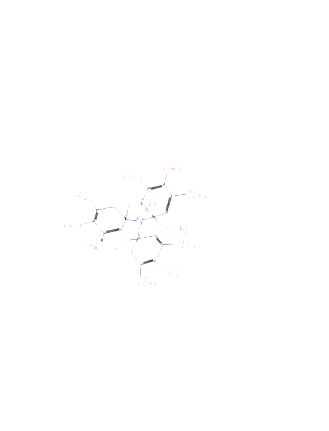 CC(C)(C)C1=CC(C(=O)O)(N(C2(C(=O)O)C=C(C(C)(C)C)C(O)=C(C(C)(C)C)C2)C2(C(=O)O)C=C(C(C)(C)C)C(O)=C(C(C)(C)C)C2)CC(C(C)(C)C)=C1O